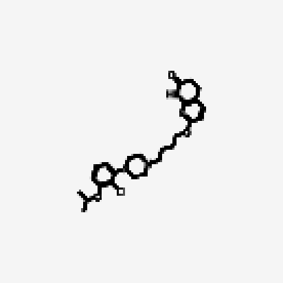 CC(C)Oc1cccc(N2CCN(CCCCOc3ccc4c(n3)NC(=O)CC4)CC2)c1Cl